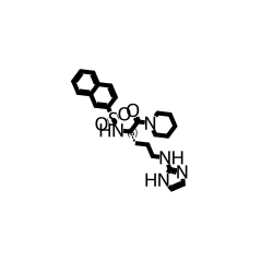 O=C([C@H](CCCNc1ncc[nH]1)NS(=O)(=O)c1ccc2ccccc2c1)N1CCCCC1